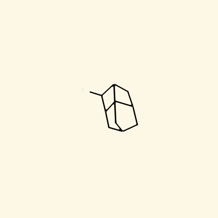 CC(=O)C1C2C[C]3CC(C2)CC1C3